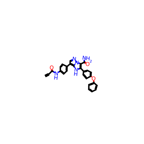 C#CC(=O)Nc1ccc(-c2cnn3c(C(N)=O)c(-c4ccc(Oc5ccccc5)cc4)[nH]c23)cc1